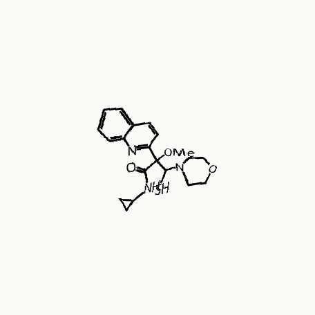 COC(C(=O)NC1CC1)(c1ccc2ccccc2n1)C(S)N1CCOCC1